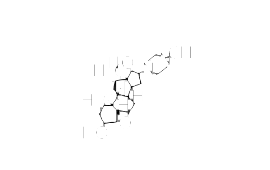 CN1CCN(C2C[C@H]3[C@@H]4CC5OC56CC(O)CC[C@]6(C)[C@@H]4CC[C@]3(C)C2O)CC1